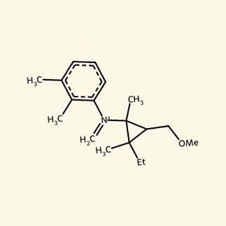 C=[N+](c1cccc(C)c1C)C1(C)C(COC)C1(C)CC